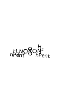 CCCCCc1cc(S(=O)(=O)c2ccc(N)c(CCCCC)c2)ccc1N